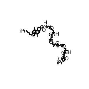 CC(C)CCC[C@@H](C)[C@H]1CC[C@H]2[C@@H]3CC=C4C[C@@H](OC(=O)NCCC(C)(C)OCCC(C)(C)NC(=O)CCC(C)(C)OCCC(C)(C)NC(=O)CCC(C)(C)OCCC(C)(C)NC(=O)CCN5C(=O)CC(C(C)C)C5=O)CC[C@]4(C)[C@H]3CC[C@]12C